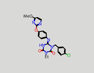 CCn1c(=O)[nH]/c(=N\c2ccc(Oc3nccc(OC)n3)cc2)n(Cc2ccc(Cl)cc2)c1=O